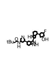 CC(C)(C)CC(=O)Nc1cncc(-c2ccc3[nH]nc(-c4cc5c(-c6cc(O)cc(F)c6)cccc5[nH]4)c3c2)c1